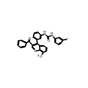 O=C(Nc1cccc(F)c1)Nc1cccc(-c2c(C(=O)c3ccccc3)cnc3c(C(F)(F)F)cccc23)c1